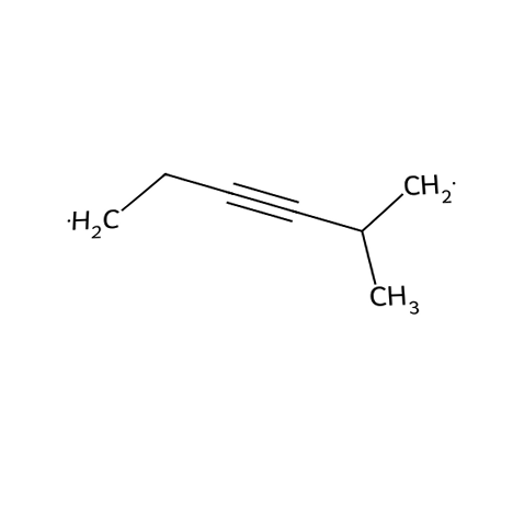 [CH2]CC#CC([CH2])C